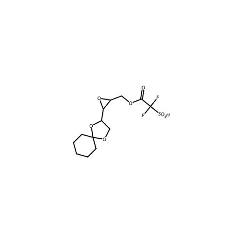 O=C(OCC1OC1C1COC2(CCCCC2)O1)C(F)(F)S(=O)(=O)O